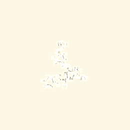 CC(C)n1cnc2c(OCc3ccc(OCC(C)(C)C)cc3)nc(NC(=O)Cc3ccccc3)nc21